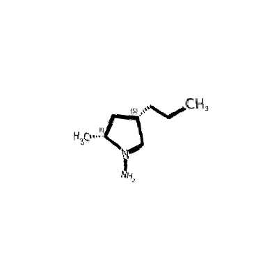 CCC[C@H]1C[C@@H](C)N(N)C1